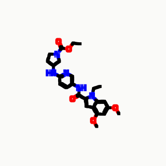 CCOC(=O)N1CC[C@H](Nc2ccc(NC(=O)c3cc4c(OC)cc(OC)cc4n3CC)cn2)C1